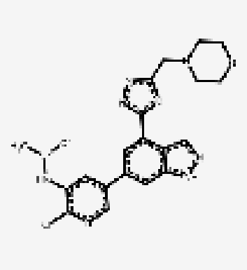 C[S+]([O-])Nc1cc(-c2cc(-c3nnc(CN4CCOCC4)o3)c3cn[nH]c3c2)cnc1Cl